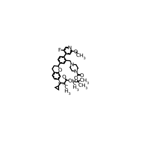 COc1cc(-c2ccc(C3CCc4ccc([C@H](C5CC5)[C@H](C)C(=O)O)cc4O3)cc2CN2CCN(C(=O)OC(C)(C)C)CC2)c(F)cn1